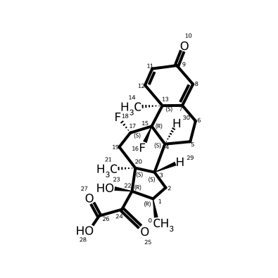 C[C@@H]1C[C@H]2[C@@H]3CCC4=CC(=O)C=C[C@]4(C)[C@@]3(F)[C@@H](F)C[C@]2(C)[C@@]1(O)C(=O)C(=O)O